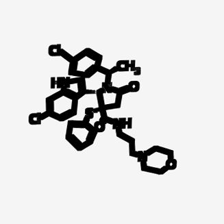 C[C@H](c1ccc(Cl)cc1)N1C(=O)C[C@@](Sc2ccccc2)(C(=O)NCCCN2CCOCC2)[C@@H]1c1c[nH]c2cc(Cl)ccc12